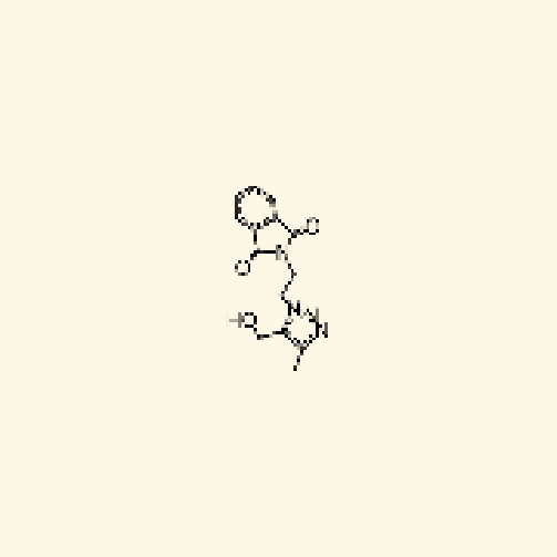 Cc1nnn(CCN2C(=O)c3ccccc3C2=O)c1CO